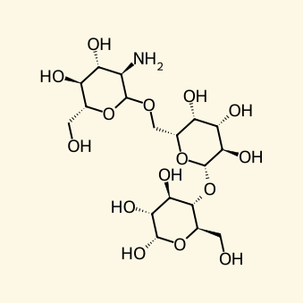 N[C@H]1C(OC[C@H]2O[C@@H](O[C@H]3[C@H](O)[C@@H](O)[C@@H](O)O[C@@H]3CO)[C@H](O)[C@@H](O)[C@H]2O)O[C@H](CO)[C@@H](O)[C@@H]1O